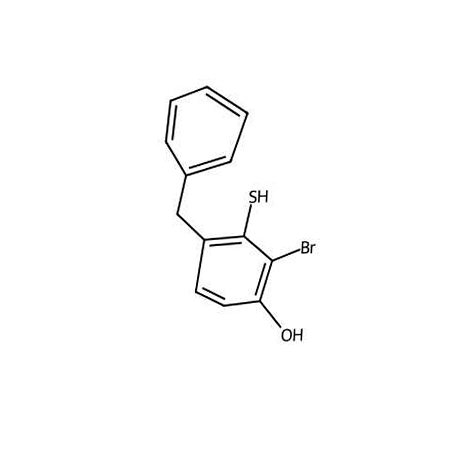 Oc1ccc(Cc2ccccc2)c(S)c1Br